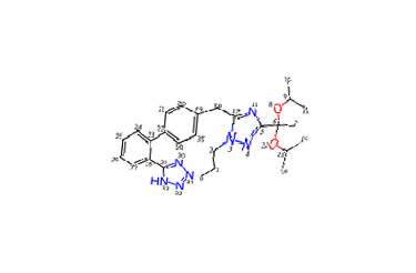 CCCn1nc(C(C)(OC(C)C)OC(C)C)nc1Cc1ccc(-c2ccccc2-c2nnn[nH]2)cc1